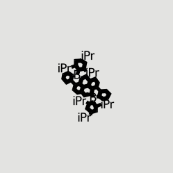 CC(C)c1cc(C(C)C)c(B2c3ccccc3-c3ccc4cc5c6c(ccc7cc2c3c4c76)-c2ccccc2B5c2c(C(C)C)cc(C(C)C)cc2C(C)C)c(C(C)C)c1